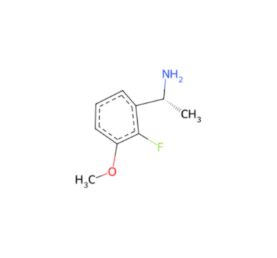 COc1cccc([C@@H](C)N)c1F